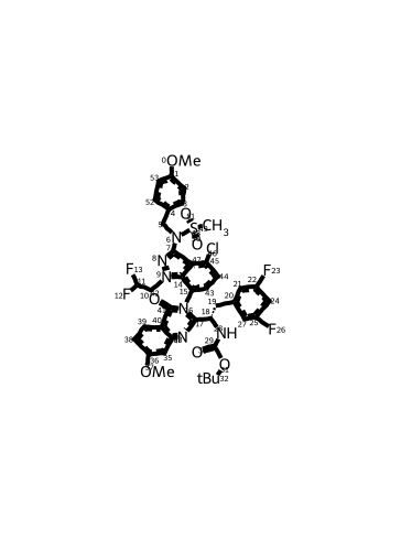 COc1ccc(CN(c2nn(CC(F)F)c3c(-n4c([C@H](Cc5cc(F)cc(F)c5)NC(=O)OC(C)(C)C)nc5cc(OC)ccc5c4=O)ccc(Cl)c23)S(C)(=O)=O)cc1